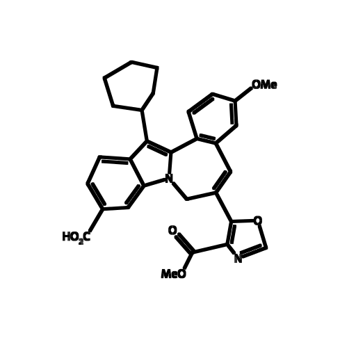 COC(=O)c1ncoc1C1=Cc2cc(OC)ccc2-c2c(C3CCCCC3)c3ccc(C(=O)O)cc3n2C1